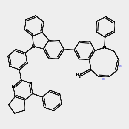 C=C1/C=C\C=C/CN(c2ccccc2)c2ccc(-c3ccc4c(c3)c3ccccc3n4-c3cccc(-c4nc5c(c(-c6ccccc6)n4)CCC5)c3)cc21